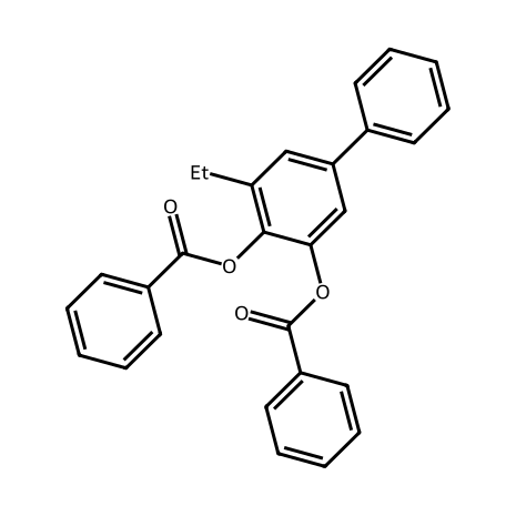 CCc1cc(-c2ccccc2)cc(OC(=O)c2ccccc2)c1OC(=O)c1ccccc1